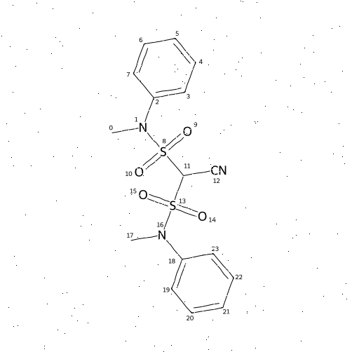 CN(c1ccccc1)S(=O)(=O)C(C#N)S(=O)(=O)N(C)c1ccccc1